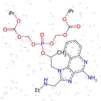 CCNCc1nc2c(N)nc3ccccc3c2n1CC(C)OP(=O)(OCOC(=O)OC(C)C)OCOC(=O)OC(C)C